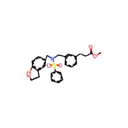 COC(=O)CCc1cccc(CN(Cc2ccc3c(c2)CCO3)S(=O)(=O)c2ccccc2)c1